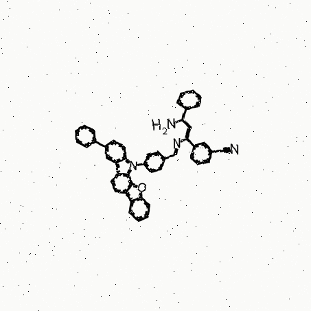 N#Cc1cccc(C(=C/C(N)c2ccccc2)/N=C/c2ccc(-n3c4ccc(-c5ccccc5)cc4c4ccc5c6ccccc6oc5c43)cc2)c1